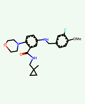 COc1ccc(CNc2ccc(N3CCOCC3)c(C(=O)NCC3(C)CC3)c2)cc1F